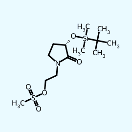 CC(C)(C)[Si](C)(C)O[C@H]1CCN(CCOS(C)(=O)=O)C1=O